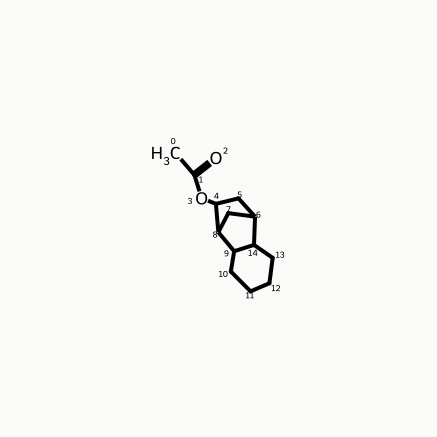 CC(=O)OC1CC2CC1C1CCCCC21